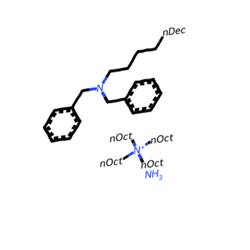 CCCCCCCCCCCCCCN(Cc1ccccc1)Cc1ccccc1.CCCCCCCC[N+](CCCCCCCC)(CCCCCCCC)CCCCCCCC.N